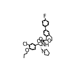 CCCOc1ccc([C@@H](O)[C@@H](CN2CCCC2)NC(=O)C2OCCc3cc(-c4ccc(F)cc4)ccc32)cc1Cl